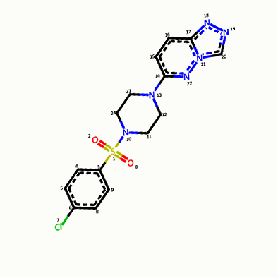 O=S(=O)(c1ccc(Cl)cc1)N1CCN(c2ccc3nncn3n2)CC1